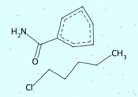 CCCCCCl.NC(=O)c1ccccc1